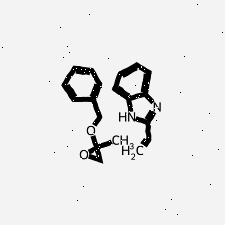 C=Cc1nc2ccccc2[nH]1.CC1(OCc2ccccc2)CO1